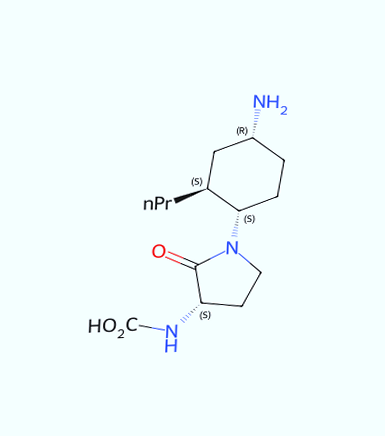 CCC[C@H]1C[C@H](N)CC[C@@H]1N1CC[C@H](NC(=O)O)C1=O